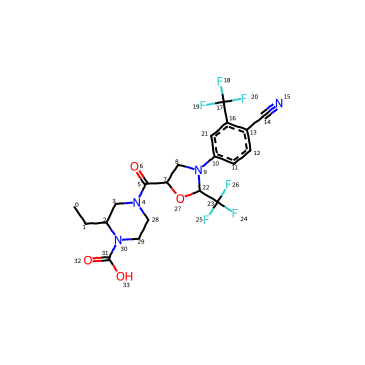 CCC1CN(C(=O)C2CN(c3ccc(C#N)c(C(F)(F)F)c3)C(C(F)(F)F)O2)CCN1C(=O)O